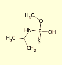 COP(O)(=S)NC(C)C